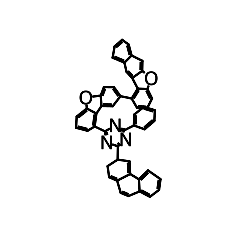 C1=c2ccc3ccccc3c2=CC(c2nc(-c3ccccc3)nc(-c3cccc4oc5ccc(-c6cccc7oc8cc9ccccc9cc8c67)cc5c34)n2)C1